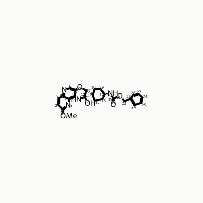 COc1ccc2ncc3c(c2n1)NC(O)([C@H]1CC[C@H](NC(=O)OCc2ccccc2)CC1)CO3